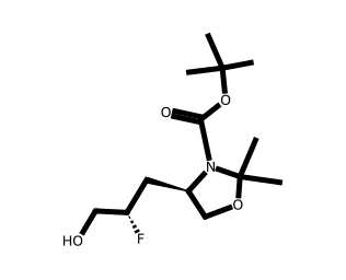 CC(C)(C)OC(=O)N1[C@H](C[C@H](F)CO)COC1(C)C